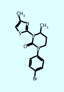 Cc1csc(N2C(=O)N(c3ccc(Br)cc3)CCC2C)n1